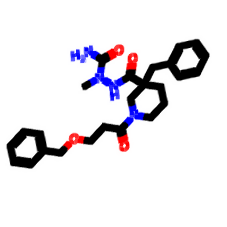 CN(NC(=O)C1(Cc2ccccc2)CCCN(C(=O)[CH]COCc2ccccc2)C1)C(N)=O